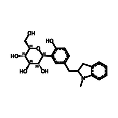 CN1c2ccccc2CC1Cc1ccc(O)c([C@@H]2O[C@H](CO)[C@@H](O)[C@H](O)[C@H]2O)c1